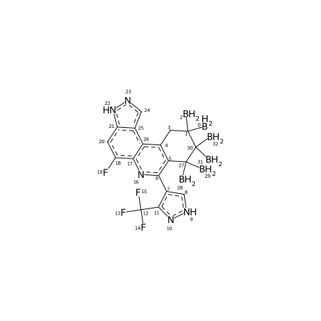 BC1(B)Cc2c(c(-c3c[nH]nc3C(F)(F)F)nc3c(F)cc4[nH]ncc4c23)C(B)(B)C1(B)B